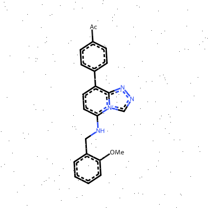 COc1ccccc1CNc1ccc(-c2ccc(C(C)=O)cc2)c2nncn12